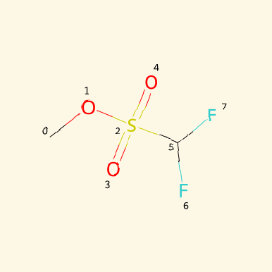 COS(=O)(=O)C(F)F